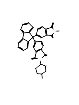 CC1CCC(N2C(=O)c3ccc(C4(c5ccc6c(c5)C(=O)N(C)C6=O)c5ccccc5-c5ccccc54)cc3C2=O)CC1